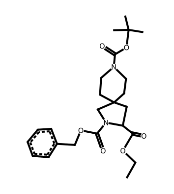 CCOC(=O)C1CC2(CCN(C(=O)OC(C)(C)C)CC2)CN1C(=O)OCc1ccccc1